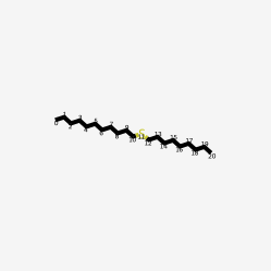 CCCCCCCCCCCSCCCCCCCCC